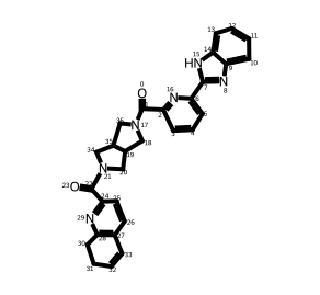 O=C(c1cccc(-c2nc3ccccc3[nH]2)n1)N1CC2CN(C(=O)c3ccc4c(n3)CCC=C4)CC2C1